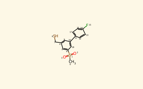 CS(=O)(=O)c1cc(CS)cc(-c2ccc(F)cc2)c1